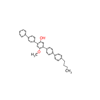 CCCCc1ccc(-c2ccc(-c3cc(O)c(-c4ccc(-c5ccccc5)cc4)cc3OC)cc2)cc1